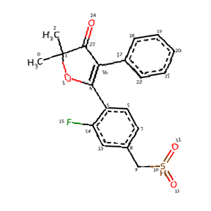 CC1(C)OC(c2ccc(C[SH](=O)=O)cc2F)=C(c2ccccc2)C1=O